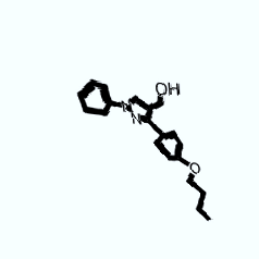 CCCCOc1ccc(-c2nn(-c3ccccc3)cc2CO)cc1